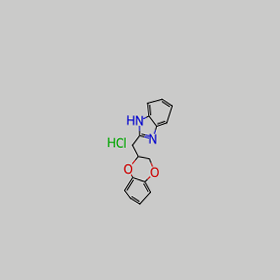 Cl.c1ccc2c(c1)OCC(Cc1nc3ccccc3[nH]1)O2